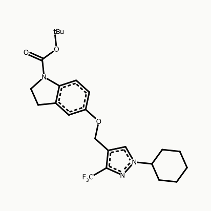 CC(C)(C)OC(=O)N1CCc2cc(OCc3cn(C4CCCCC4)nc3C(F)(F)F)ccc21